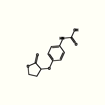 O=C(O)Nc1ccc(OC2CCOC2=O)cc1